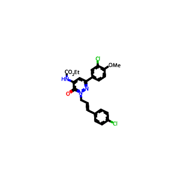 CCOC(=O)Nc1cc(-c2ccc(OC)c(Cl)c2)nn(C/C=C/c2ccc(Cl)cc2)c1=O